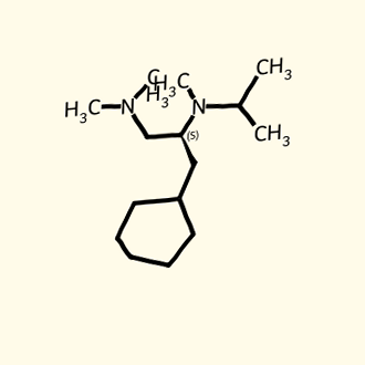 CC(C)N(C)[C@@H](CC1CCCCC1)CN(C)C